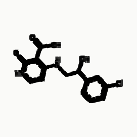 O=C(O)c1c(NCC(O)c2cccc(Cl)c2)cc[nH]c1=O